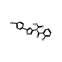 NC(=O)N(C(=O)c1ccccc1Cl)c1csc(-c2ccc(Cl)cc2)c1